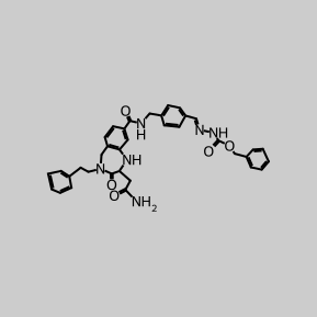 NC(=O)CC1Nc2cc(C(=O)NCc3ccc(C=NNC(=O)OCc4ccccc4)cc3)ccc2CN(CCc2ccccc2)C1=O